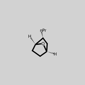 CCC[C@@H]1C[C@H]2CC[C@@H]1O2